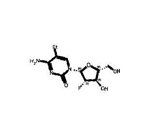 CCc1cn([C@@H]2O[C@H](CO)[C@@H](O)[C@@H]2F)c(=O)nc1N